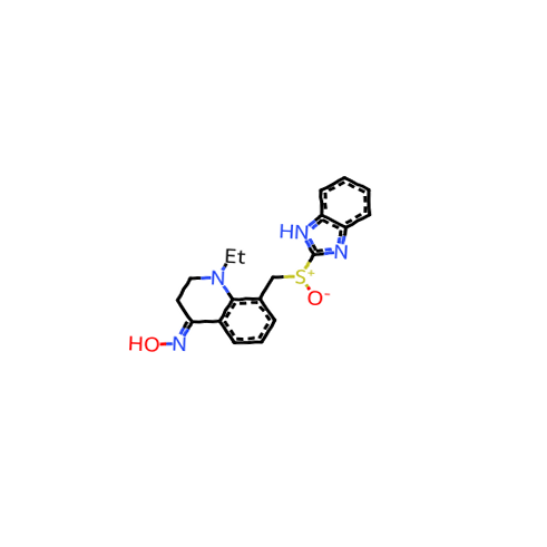 CCN1CCC(=NO)c2cccc(C[S+]([O-])c3nc4ccccc4[nH]3)c21